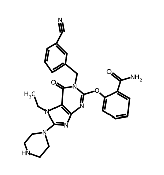 CCn1c(N2CCNCC2)nc2nc(Oc3ccccc3C(N)=O)n(Cc3cccc(C#N)c3)c(=O)c21